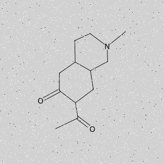 CC(=O)C1CC2CN(C)CCC2CC1=O